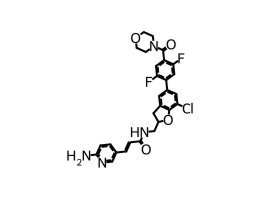 Nc1ccc(C=CC(=O)NCC2Cc3cc(-c4cc(F)c(C(=O)N5CCOCC5)cc4F)cc(Cl)c3O2)cn1